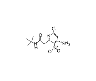 CC(C)(C)NC(=O)Cc1nc(Cl)cc(N)c1[N+](=O)[O-]